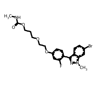 CNC(=O)OCCCOCCOc1ccc(-c2nn(C)c3cc(Br)ccc23)c(F)c1